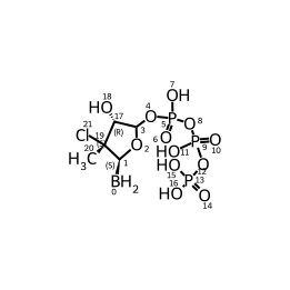 B[C@@H]1OC(OP(=O)(O)OP(=O)(O)OP(=O)(O)O)[C@@H](O)[C@@]1(C)Cl